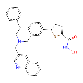 O=C(NO)C1=CCC(c2cccc(CN(CCc3ccccc3)Cc3cnc4ccccc4c3)c2)S1